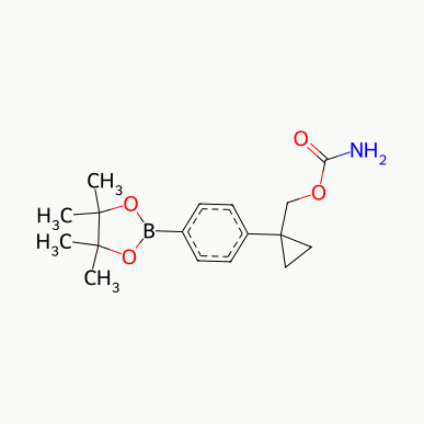 CC1(C)OB(c2ccc(C3(COC(N)=O)CC3)cc2)OC1(C)C